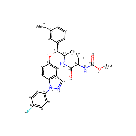 COc1cccc([C@@H](Oc2ccc3c(cnn3-c3ccc(F)cc3)c2)C(C)NC(=O)C(C)NC(=O)OC(C)(C)C)c1